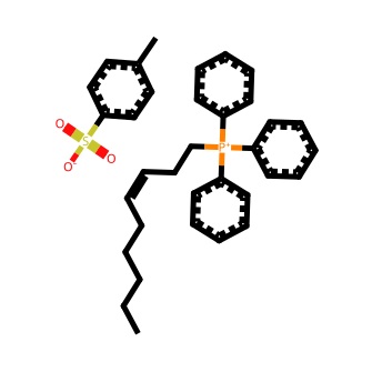 CCCCC/C=C\CC[P+](c1ccccc1)(c1ccccc1)c1ccccc1.Cc1ccc(S(=O)(=O)[O-])cc1